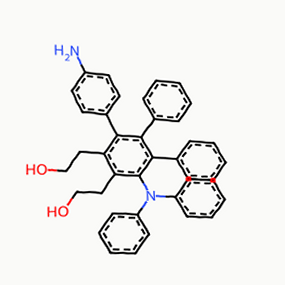 Nc1ccc(-c2c(CCO)c(CCO)c(N(c3ccccc3)c3ccccc3)c(-c3ccccc3)c2-c2ccccc2)cc1